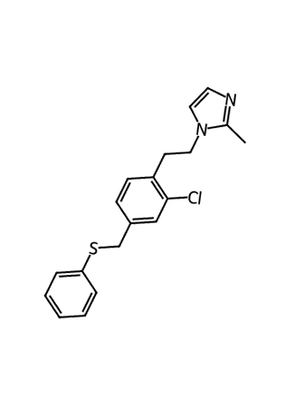 Cc1nccn1CCc1ccc(CSc2ccccc2)cc1Cl